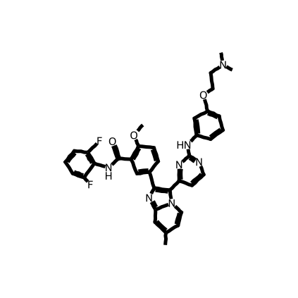 COc1ccc(-c2nc3cc(C)ccn3c2-c2ccnc(Nc3cccc(OCCN(C)C)c3)n2)cc1C(=O)Nc1c(F)cccc1F